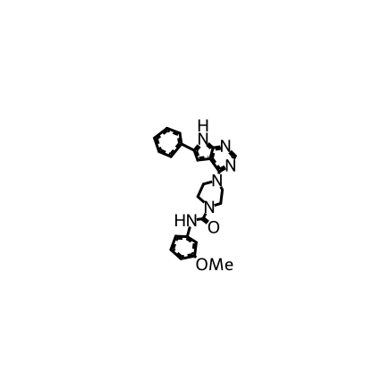 COc1cccc(NC(=O)N2CCN(c3ncnc4[nH]c(-c5ccccc5)cc34)CC2)c1